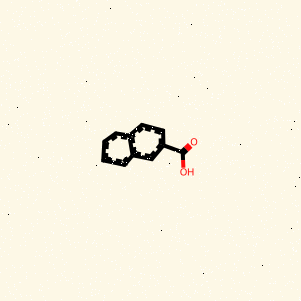 O=C(O)c1ccc2ccc[c]c2c1